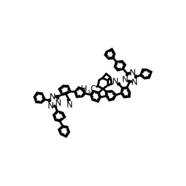 CC1CC2CC3CC(C23)C12c1cc(-c3ccc(-c4cccc(-c5nc(-c6ccccc6)nc(-c6ccc(-c7ccccc7)cc6)n5)c4C#N)cc3)ccc1-c1ccc(-c3cccc(-c4nc(-c5ccccc5)nc(-c5ccc(-c6ccccc6)cc5)n4)c3C#N)cc12